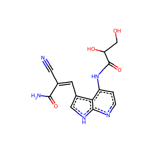 N#CC(=Cc1c[nH]c2nccc(NC(=O)C(O)CO)c12)C(N)=O